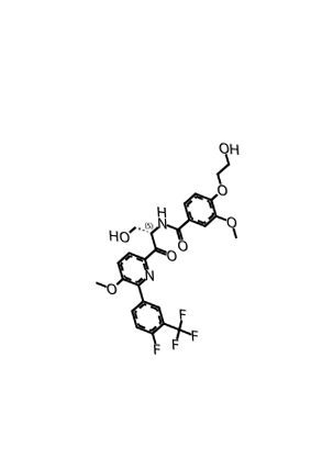 COc1cc(C(=O)N[C@@H](CO)C(=O)c2ccc(OC)c(-c3ccc(F)c(C(F)(F)F)c3)n2)ccc1OCCO